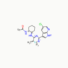 C=C(F)/C(=N\C(=N/C)c1c[nH]c2ncc(Cl)cc12)N[C@@H]1CCCC[C@H]1NC(=O)CC